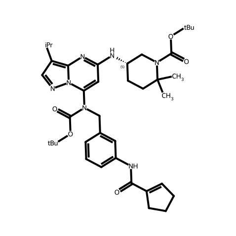 CC(C)c1cnn2c(N(Cc3cccc(NC(=O)C4=CCCC4)c3)C(=O)OC(C)(C)C)cc(N[C@H]3CCC(C)(C)N(C(=O)OC(C)(C)C)C3)nc12